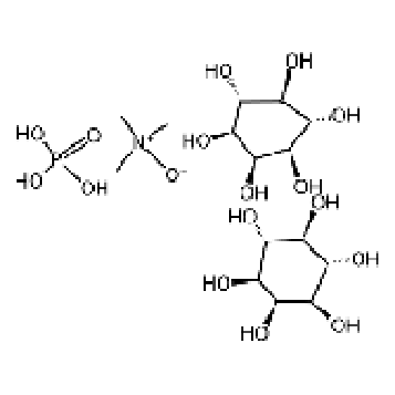 C[N+](C)(C)[O-].O=P(O)(O)O.O[C@H]1[C@H](O)[C@@H](O)[C@H](O)[C@@H](O)[C@H]1O.O[C@H]1[C@H](O)[C@@H](O)[C@H](O)[C@@H](O)[C@H]1O